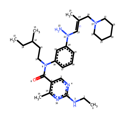 CCNc1ncc(C(=O)N(CCC(C)CC)c2cccc(N(N)/C=C(\C)CN3CCCCC3)c2)c(C)n1